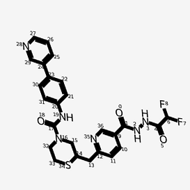 O=C(NNC(=O)C(F)F)c1ccc(CC2CN(C(=O)Nc3ccc(-c4cccnc4)cc3)CCS2)nc1